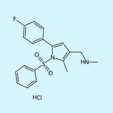 CNCc1cc(-c2ccc(F)cc2)n(S(=O)(=O)c2ccccc2)c1C.Cl